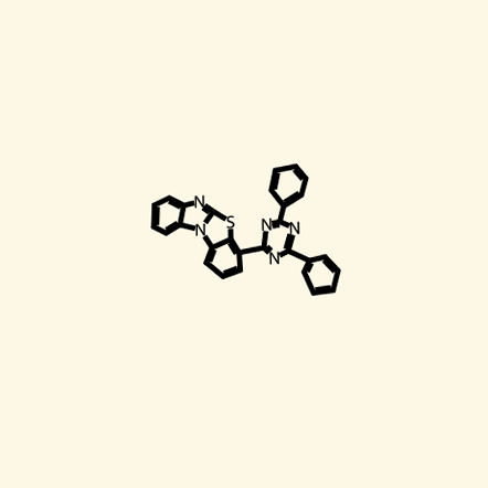 c1ccc(-c2nc(-c3ccccc3)nc(-c3cccc4c3sc3nc5ccccc5n34)n2)cc1